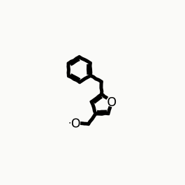 [O]Cc1coc(Cc2ccccc2)c1